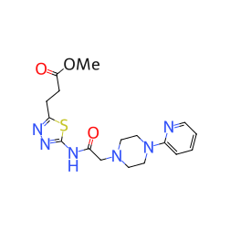 COC(=O)CCc1nnc(NC(=O)CN2CCN(c3ccccn3)CC2)s1